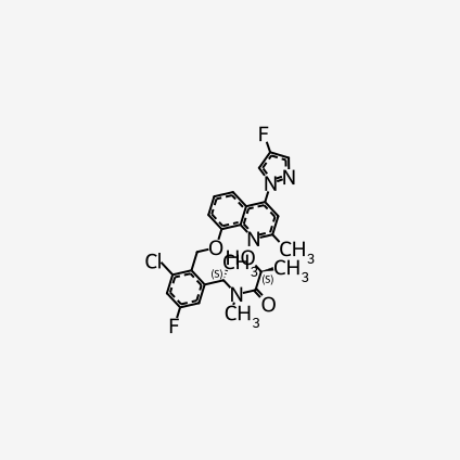 Cc1cc(-n2cc(F)cn2)c2cccc(OCc3c(Cl)cc(F)cc3[C@H](C)N(C)C(=O)[C@H](C)O)c2n1